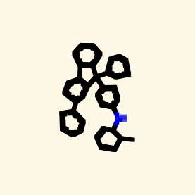 CC1C=CC=CC1Nc1ccc(C2(c3ccccc3)c3ccccc3-c3ccc(-c4ccccc4)cc32)cc1